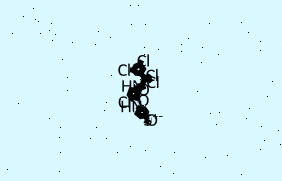 C[S+]([O-])c1ccc(NC(=O)c2cc(NC(=O)C3C(c4cc(Cl)cc(Cl)c4)C3(Cl)Cl)ccc2Cl)cc1